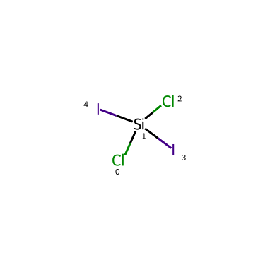 Cl[Si](Cl)(I)I